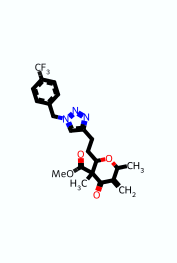 C=C1C(=O)C(C)(C(=O)OC)C(CCc2cn(Cc3ccc(C(F)(F)F)cc3)nn2)OC1C